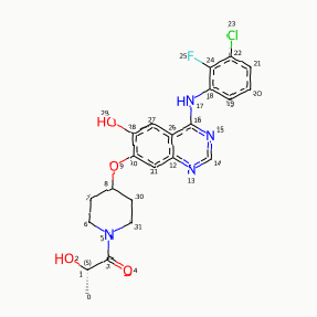 C[C@H](O)C(=O)N1CCC(Oc2cc3ncnc(Nc4cccc(Cl)c4F)c3cc2O)CC1